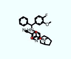 COc1cc(C(NCC(=O)N2CC3CCC(C2)N3c2ccc(C#N)cn2)c2ccccc2)ccc1F